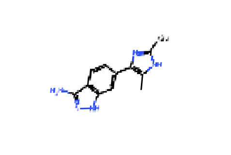 Cc1[nH]c(C(C)(C)C)nc1-c1ccc2c(N)n[nH]c2c1